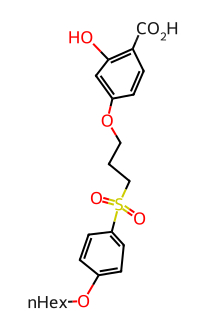 CCCCCCOc1ccc(S(=O)(=O)CCCOc2ccc(C(=O)O)c(O)c2)cc1